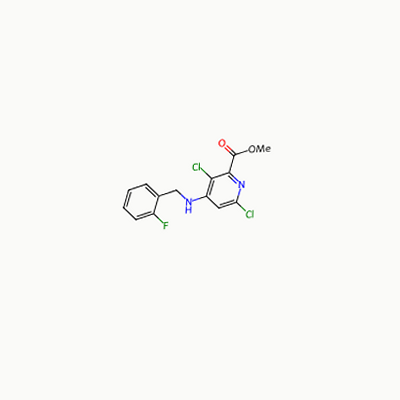 COC(=O)c1nc(Cl)cc(NCc2ccccc2F)c1Cl